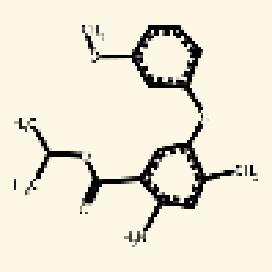 COc1cccc(Oc2cc(C(=O)OC(C)C)c(N)cc2C)c1